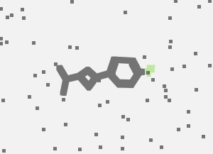 CC(C)C1CC(c2ccc(F)cc2)C1